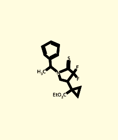 CCOC(=O)C1(C2CN(C(C)c3ccccc3)C(=S)C2(F)F)CC1